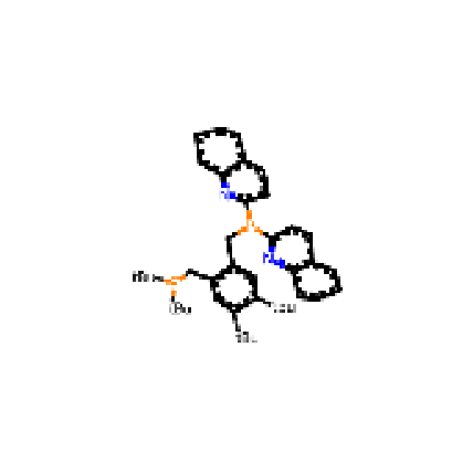 CC(C)(C)c1cc(CP(c2ccc3ccccc3n2)c2ccc3ccccc3n2)c(CP(C(C)(C)C)C(C)(C)C)cc1C(C)(C)C